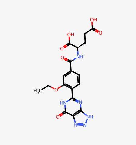 CCOc1cc(C(=O)N[C@H](CCC(=O)O)C(=O)O)ccc1-c1nc2[nH]nnc2c(=O)[nH]1